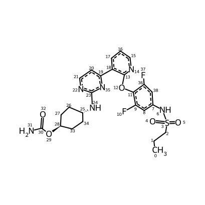 CCCS(=O)(=O)Nc1cc(F)c(Oc2ncccc2-c2ccnc(N[C@H]3CC[C@H](OC(N)=O)CC3)n2)c(F)c1